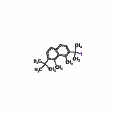 Cc1c(C(C)(C)C)ccc2ccc(C(C)(C)I)c(C)c12